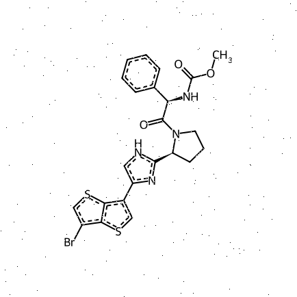 COC(=O)N[C@@H](C(=O)N1CCC[C@H]1c1nc(-c2csc3c(Br)csc23)c[nH]1)c1ccccc1